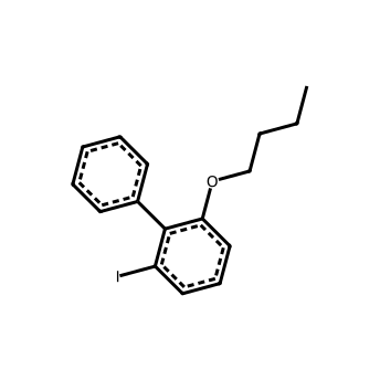 CCCCOc1cccc(I)c1-c1ccccc1